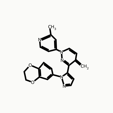 C=C1C=CN(c2ccnc(C)c2)N=C1c1ccnn1-c1ccc2c(c1)OCCO2